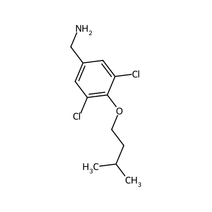 CC(C)CCOc1c(Cl)cc(CN)cc1Cl